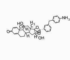 C[C@]12C=CC(=O)C=C1CC[C@@H]1C2[C@@H](O)C[C@@]2(C)[C@H]1C[C@H]1O[C@@H](c3cccc(Cc4ccc(N)cc4)c3)O[C@]12C(=O)CO